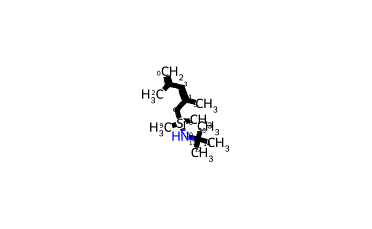 C=C(C)C=C(C)C[Si](C)(C)NC(C)(C)C